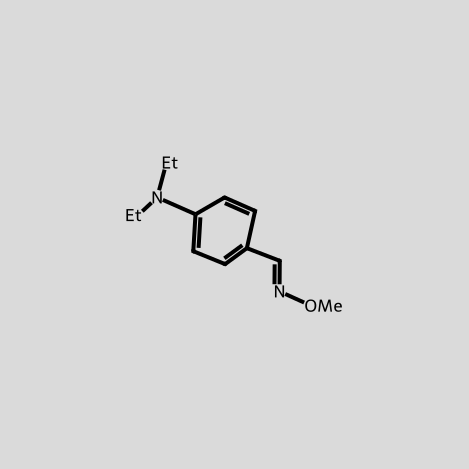 CCN(CC)c1ccc(/C=N/OC)cc1